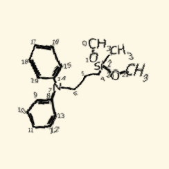 CO[Si](C)(CCCN(c1ccccc1)c1ccccc1)OC